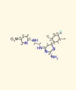 Cc1cc(-c2cc(NCCNc3ccc([N+](=O)[O-])cn3)nc(N)n2)c(C)cc1F